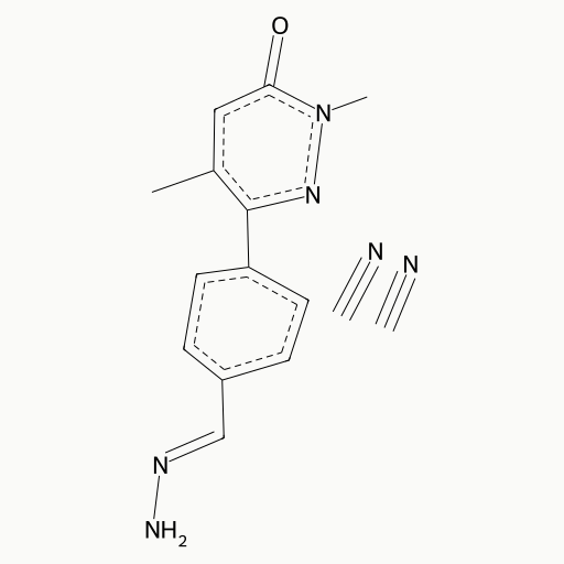 C#N.C#N.Cc1cc(=O)n(C)nc1-c1ccc(C=NN)cc1